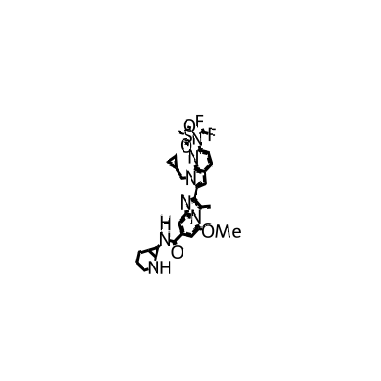 COc1cc(C(=O)NC2C3CCCNC32)cc2nc(-c3cc4ccc(N(C(F)F)S(C)(=O)=O)nc4n3CC3CC3)c(C)n12